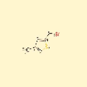 FC(F)(F)c1csc(CBr)c1